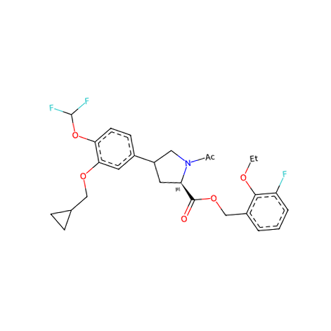 CCOc1c(F)cccc1COC(=O)[C@H]1CC(c2ccc(OC(F)F)c(OCC3CC3)c2)CN1C(C)=O